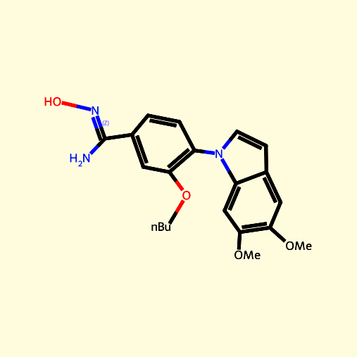 CCCCOc1cc(/C(N)=N/O)ccc1-n1ccc2cc(OC)c(OC)cc21